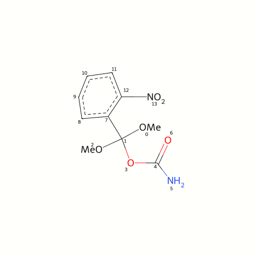 COC(OC)(OC(N)=O)c1ccccc1[N+](=O)[O-]